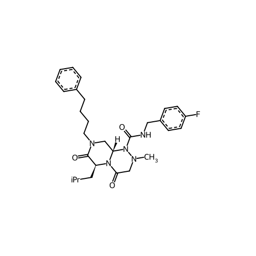 CC(C)C[C@H]1C(=O)N(CCCCc2ccccc2)C[C@H]2N1C(=O)CN(C)N2C(=O)NCc1ccc(F)cc1